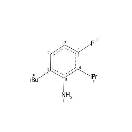 CCC(C)c1ccc(F)c(C(C)C)c1N